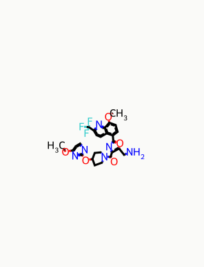 COc1ccnc(OC2CCN(C(=O)c3nc(-c4ccc(OC)c5nc(C(F)(F)F)ccc45)oc3CN)CC2)n1